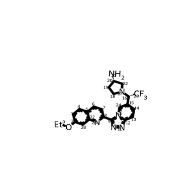 CCOc1ccc2ccc(-c3nnc4ccc([C@H](N5CC[C@H](N)C5)C(F)(F)F)cn34)nc2c1